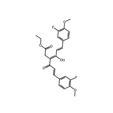 CCOC(=O)CC(C(=O)/C=C/c1ccc(OC)c(F)c1)=C(O)C=Cc1ccc(OC)c(F)c1